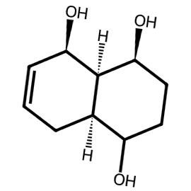 OC1CC[C@H](O)[C@@H]2[C@H](O)C=CC[C@H]12